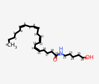 CCCCC/C=C\C/C=C\C/C=C\C/C=C\CCCC(=O)NCCCCCO